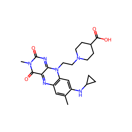 Cc1cc2nc3c(=O)n(C)c(=O)nc-3n(CCN3CCC(C(=O)O)CC3)c2cc1NC1CC1